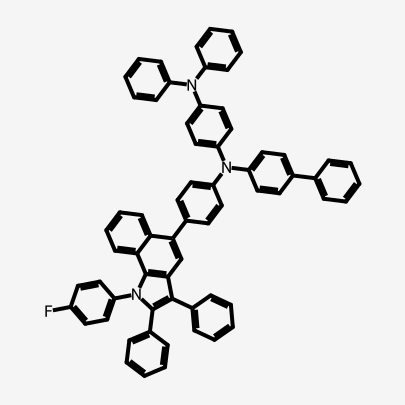 Fc1ccc(-n2c(-c3ccccc3)c(-c3ccccc3)c3cc(-c4ccc(N(c5ccc(-c6ccccc6)cc5)c5ccc(N(c6ccccc6)c6ccccc6)cc5)cc4)c4ccccc4c32)cc1